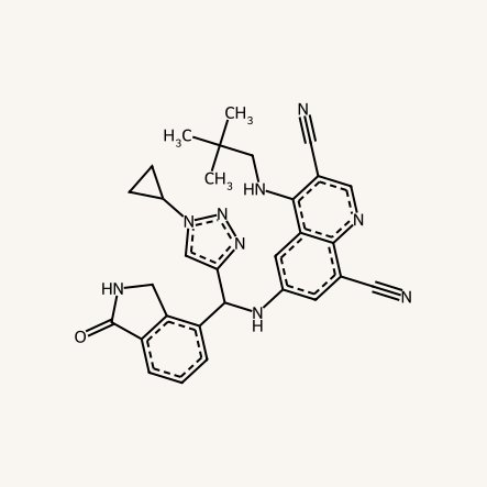 CC(C)(C)CNc1c(C#N)cnc2c(C#N)cc(NC(c3cn(C4CC4)nn3)c3cccc4c3CNC4=O)cc12